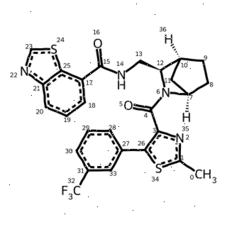 Cc1nc(C(=O)N2[C@@H]3CC[C@@H](C3)[C@@H]2CNC(=O)c2cccc3ncsc23)c(-c2cccc(C(F)(F)F)c2)s1